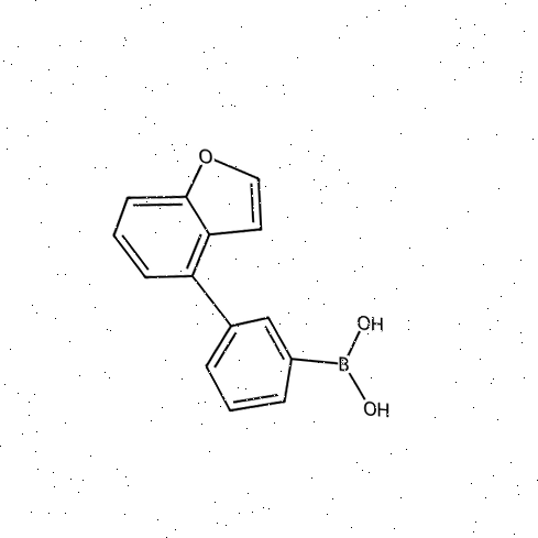 OB(O)c1cccc(-c2cccc3occc23)c1